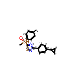 Cc1ccc([SH](C)(=O)c2nc(-c3ccc(C4CC4)cc3)ns2)cc1